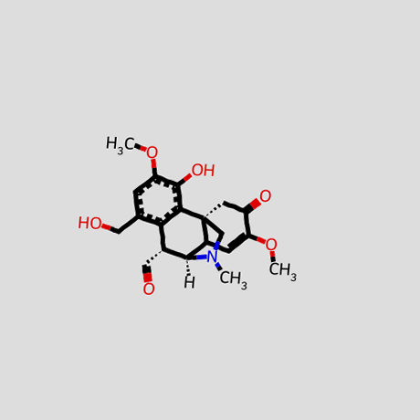 COC1=CC2[C@@H]3[C@H](C=O)c4c(CO)cc(OC)c(O)c4[C@@]2(CC1=O)CN3C